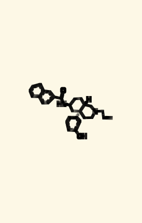 C=CCN1CC[C@@]2(c3cccc(O)c3)C[C@@H](NC(=O)c3ccc4ccccc4c3)CC[C@@H]2C1